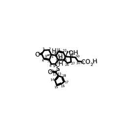 C[C@]12CCC(=O)C=C1CC(SC(=O)c1ccccc1)[C@@H]1[C@@H]2C=C[C@@]2(C)[C@H]1CC[C@]2(O)CCC(=O)O